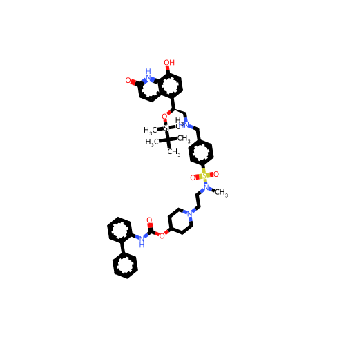 CN(CCN1CCC(OC(=O)Nc2ccccc2-c2ccccc2)CC1)S(=O)(=O)c1ccc(CNC[C@@H](O[Si](C)(C)C(C)(C)C)c2ccc(O)c3[nH]c(=O)ccc23)cc1